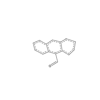 O=Cc1c2ccc[c]c2cc2ccccc12